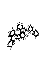 c1ccc(-c2cccc(-n3c4ccccc4c4c3ccc3cc5c6ccccc6c6ccccc6n5c34)c2)nc1